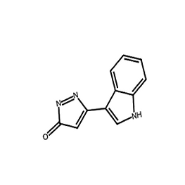 O=C1C=C(c2c[nH]c3ccccc23)N=N1